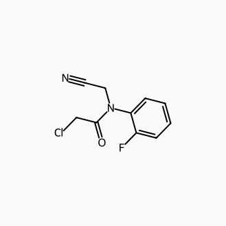 N#CCN(C(=O)CCl)c1ccccc1F